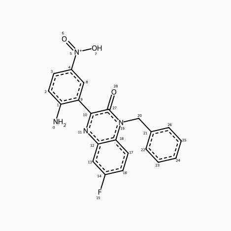 Nc1ccc([N+](=O)O)cc1-c1nc2cc(F)ccc2n(Cc2ccccc2)c1=O